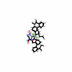 CCCC1=Cc2c(-c3ccccc3C(C)CC)cccc2[CH]1[Zr]([Cl])([Cl])([B](NC=O)NC=O)[CH]1C(CCC)=Cc2c(-c3ccccc3C(C)CC)cccc21